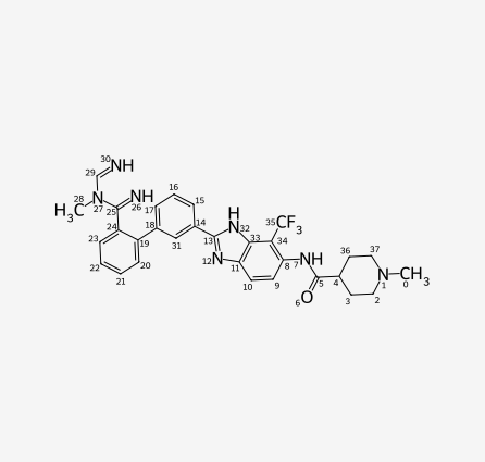 CN1CCC(C(=O)Nc2ccc3nc(-c4cccc(-c5ccccc5C(=N)N(C)C=N)c4)[nH]c3c2C(F)(F)F)CC1